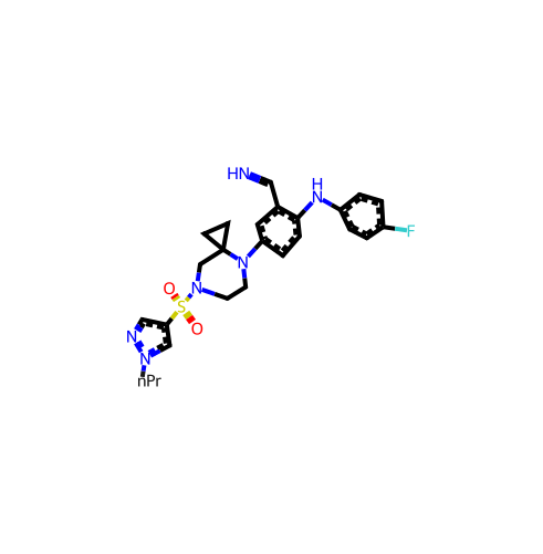 CCCn1cc(S(=O)(=O)N2CCN(c3ccc(Nc4ccc(F)cc4)c(C=N)c3)C3(CC3)C2)cn1